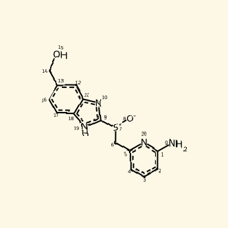 Nc1cccc(C[S+]([O-])c2nc3cc(CO)ccc3[nH]2)n1